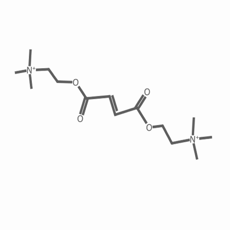 C[N+](C)(C)CCOC(=O)/C=C/C(=O)OCC[N+](C)(C)C